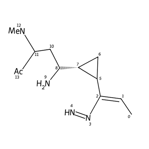 C/C=C(\N=N)C1C[C@H]1C(N)CC(NC)C(C)=O